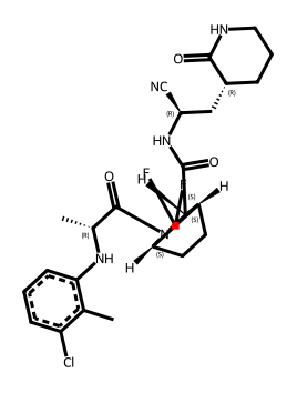 Cc1c(Cl)cccc1N[C@H](C)C(=O)N1[C@H]2CC[C@@H]([C@H]1C(=O)N[C@@H](C#N)C[C@H]1CCCNC1=O)C(F)(F)C2